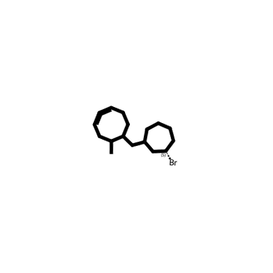 CC1CC=C=CCCC1CC1CCCC[C@H](Br)C1